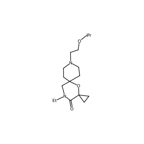 CCN1CC2(CCN(CCOC(C)C)CC2)OC2(CC2)C1=O